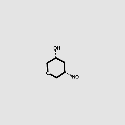 O=N[C@@H]1COC[C@H](O)C1